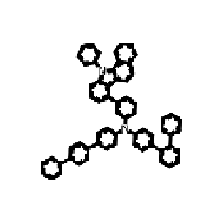 c1ccc(-c2ccc(-c3ccc(N(c4ccc(-c5ccccc5-c5ccccc5)cc4)c4cccc(-c5cccc6c5c5ccc7ccccc7c5n6-c5ccccc5)c4)cc3)cc2)cc1